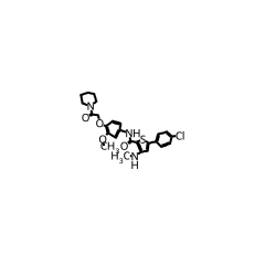 CNc1cc(-c2ccc(Cl)cc2)sc1C(=O)Nc1ccc(OCC(=O)N2CCCCC2)c(OC)c1